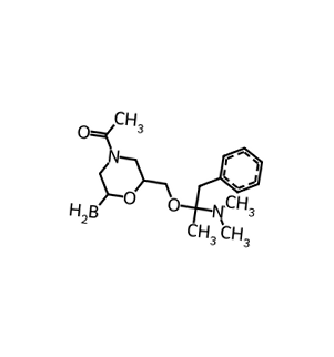 BC1CN(C(C)=O)CC(COC(C)(Cc2ccccc2)N(C)C)O1